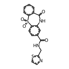 O=C(NCc1nccs1)c1ccc2c(c1)NC(=O)c1ccccc1S2(=O)=O